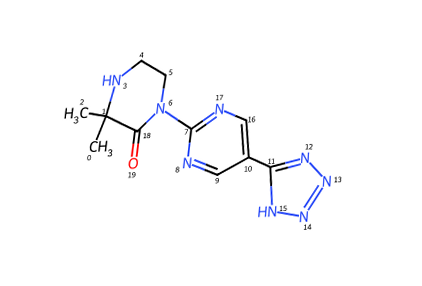 CC1(C)NCCN(c2ncc(-c3nnn[nH]3)cn2)C1=O